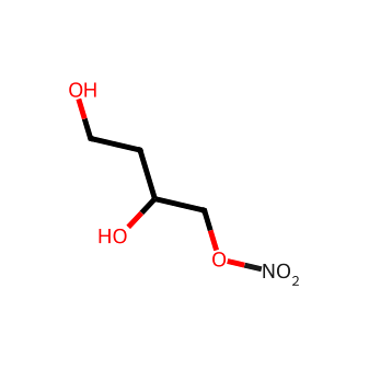 O=[N+]([O-])OCC(O)CCO